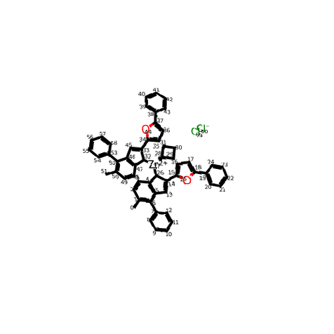 Cc1ccc2c(c1-c1ccccc1)C=C(c1ccc(-c3ccccc3)o1)[CH]2[Zr+2](=[C]1CCC1)[CH]1C(c2ccc(-c3ccccc3)o2)=Cc2c1ccc(C)c2-c1ccccc1.[Cl-].[Cl-]